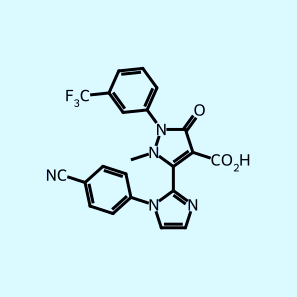 Cn1c(-c2nccn2-c2ccc(C#N)cc2)c(C(=O)O)c(=O)n1-c1cccc(C(F)(F)F)c1